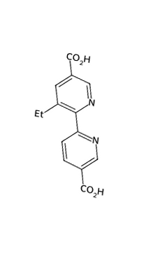 CCc1cc(C(=O)O)cnc1-c1ccc(C(=O)O)cn1